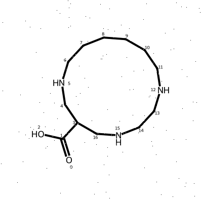 O=C(O)C1CNCCCCCCNCCNC1